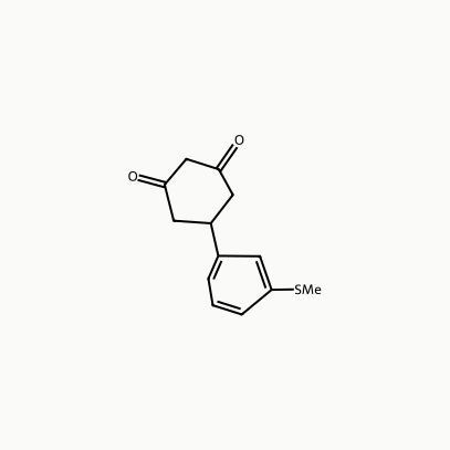 CSc1cccc(C2CC(=O)CC(=O)C2)c1